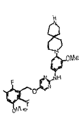 COc1cc(Nc2ncc(OCc3c(F)c(C)cc(OC)c3F)cn2)ccc1N1CCC2(CCNCC2)CC1